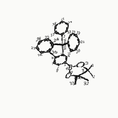 CC1(C)OB(c2ccc3c(c2)C(c2ccccc2)(c2ccccc2)c2ccccc2-3)OC1(C)C